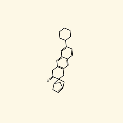 O=C1Cc2cc3cc(C4CCCCC4)ccc3cc2CC12CC1=CCC2C1